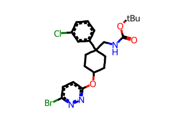 CC(C)(C)OC(=O)NCC1(c2cccc(Cl)c2)CCC(Oc2ccc(Br)nn2)CC1